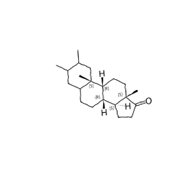 CC1CC2CC[C@@H]3[C@@H](CC[C@]4(C)C(=O)CC[C@@H]34)[C@@]2(C)CC1C